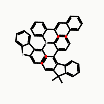 CC1(C)c2ccccc2-c2c(-c3ccccc3N(c3ccccc3-c3ccc4ccccc4c3)c3cccc4sc5ccccc5c34)cccc21